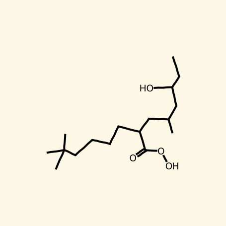 CCC(O)CC(C)CC(CCCCC(C)(C)C)C(=O)OO